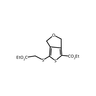 CCOC(=O)CSc1sc(C(=O)OCC)c2c1COC2